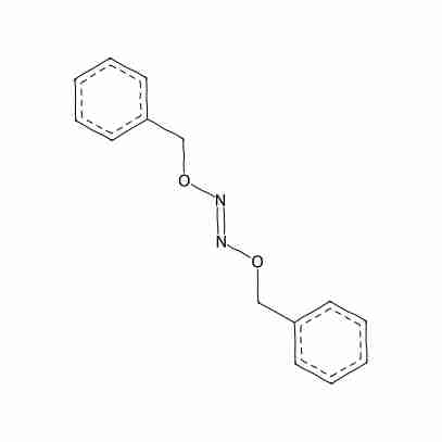 c1ccc(CON=NOCc2ccccc2)cc1